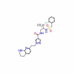 O=C(NCC(NS(=O)(=O)Cc1ccccc1F)C(=O)O)c1cnn(CCc2ccc3c(n2)NCCC3)c1